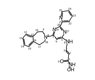 O=C(C=CNc1cc(N2CCc3ccccc3CC2)nc(-c2ccccn2)n1)NO